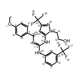 COc1ccc(C(=O)/N=C(/Nc2cccc(C(F)(F)F)c2)Nc2cc(C(F)(F)F)nn2CCO)cc1